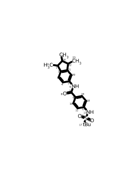 CC1c2ccc(NC(=O)c3ccc(NS(=O)(=O)C(C)(C)C)cc3)cc2C(C)C1C